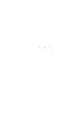 O=C(O)CCc1ccc(NCc2ccc3c(c2Cl)N(c2ccccc2)CCC3)cc1F